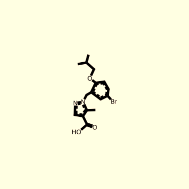 Cc1c(C(=O)O)cnn1Cc1cc(Br)ccc1OCC(C)C